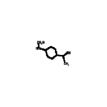 CC(O)C1CCC(NC(=O)O)CC1